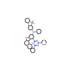 CC1(C)c2ccccc2-c2ccc(N(c3ccccc3)c3cc(-c4nc(C5=CC=CCC5)nc(-c5ccccc5)n4)c4c(c3)oc3ccc5ccccc5c34)cc21